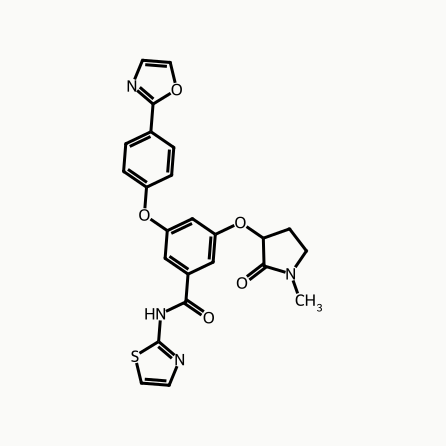 CN1CCC(Oc2cc(Oc3ccc(-c4ncco4)cc3)cc(C(=O)Nc3nccs3)c2)C1=O